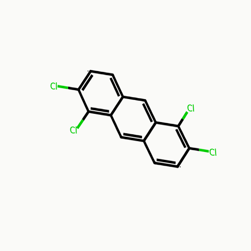 Clc1[c]cc2cc3c(Cl)c(Cl)[c]cc3cc2c1Cl